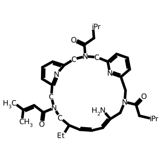 CCC1/C=C\C=C(/N)CN(C(=O)CC(C)C)Cc2cccc(n2)CN(C(=O)CC(C)C)Cc2cccc(n2)CN(C(=O)C=C(C)C)C1